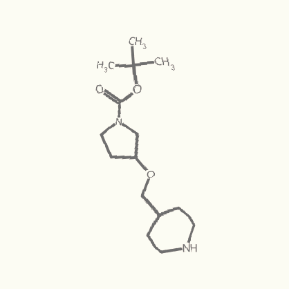 CC(C)(C)OC(=O)N1CCC(OCC2CCNCC2)C1